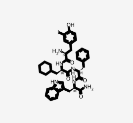 NC(=O)[C@@H](Cc1c[nH]c2ccccc12)NC(=O)[C@@H](Cc1ccccc1)NC(=O)[C@@H](CC1CCCCC1)NC(=O)[C@@H](N)Cc1ccc(O)c(I)c1